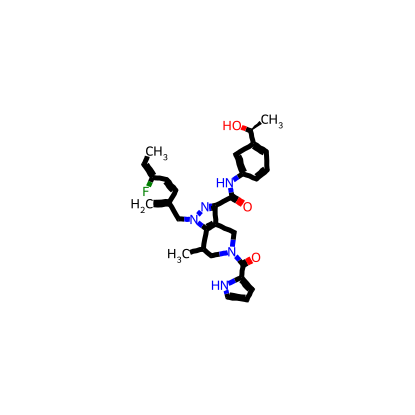 C=C(/C=C\C(F)=C/C)Cn1nc(C(=O)Nc2cccc([C@H](C)O)c2)c2c1C(C)CN(C(=O)c1ccc[nH]1)C2